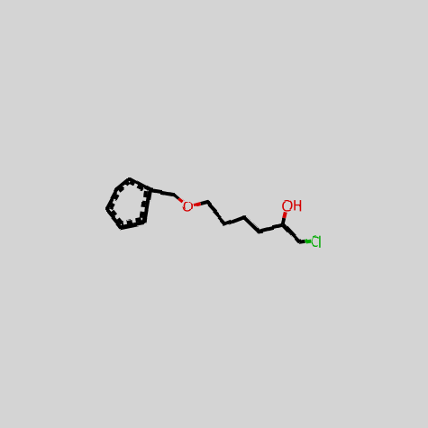 OC(CCl)CCCCOCc1ccccc1